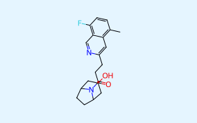 Cc1ccc(F)c2cnc(CCC(=O)N3C4CCC3CC(O)C4)cc12